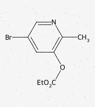 CCOC(=O)Oc1cc(Br)cnc1C